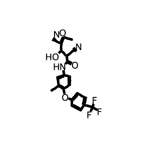 Cc1cc(NC(=O)C(C#N)C(O)c2cnoc2C)ccc1Oc1ccc(C(F)(F)F)cc1